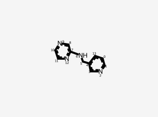 c1cncc(CNc2cnccn2)c1